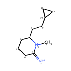 CN1C(=N)CCCC1CCC1CC1